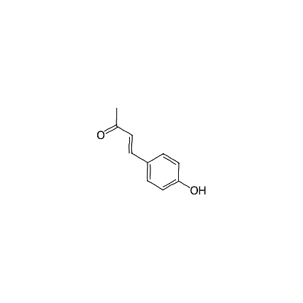 CC(=O)/C=C/c1ccc(O)cc1